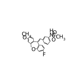 COc1ccc2c(c1)COc1cc(F)ccc1/C2=C\c1cccc(NS(C)(=O)=O)c1